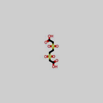 O=C(O)CS(=O)(=O)CCS(=O)(=O)CC(=O)O